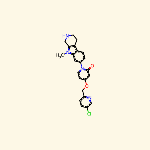 Cn1c2c(c3ccc(-n4ccc(OCc5ccc(Cl)cn5)cc4=O)cc31)CCNC2